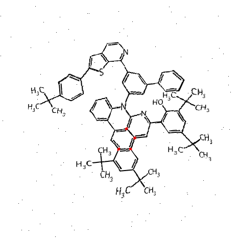 CC(C)(C)c1ccc(-c2cc3ccnc(-c4cc(-c5ccccc5)cc(N(c5cc(-c6cc(C(C)(C)C)cc(C(C)(C)C)c6)cc(-c6cc(C(C)(C)C)cc(C(C)(C)C)c6O)n5)c5ccccc5-c5ccccc5)c4)c3s2)cc1